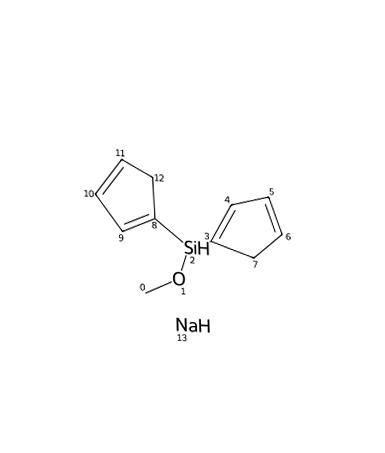 CO[SiH](C1=CC=CC1)C1=CC=CC1.[NaH]